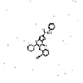 N#Cc1ccccc1Cn1c(N2CCCCC2)nc2cc(C(=O)Nc3ccccc3)sc2c1=O